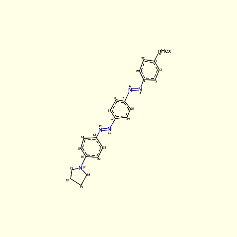 CCCCCCc1ccc(N=Nc2ccc(N=Nc3ccc(N4CCCC4)cc3)cc2)cc1